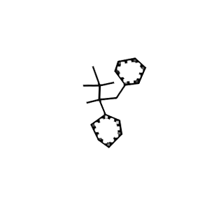 CC(C)(C)C(C)(Cc1ccccc1)c1ccccc1